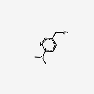 CC(C)Cc1ccc(N(C)C)nc1